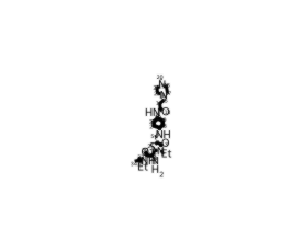 CCN1C(=O)[C@@H](CNc2ccc(NC(=O)CCN3CCN(C)CC3)cc2)SC1[C@H](N)C(=O)NC(C)(C)CC